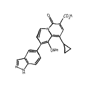 COc1c(-c2ccc3[nH]ncc3c2)ccn2c(=O)c(C(=O)O)cc(C3CC3)c12